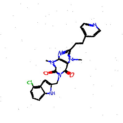 Cn1c(CCc2ccncc2)nc2c1c(=O)n(Cc1cc3c(Cl)cccc3[nH]1)c(=O)n2C